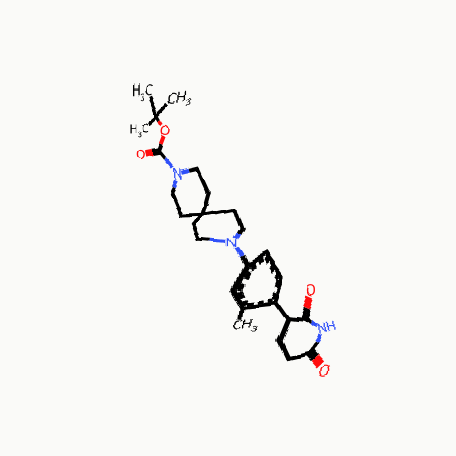 Cc1cc(N2CCC3(CCN(C(=O)OC(C)(C)C)CC3)CC2)ccc1C1CCC(=O)NC1=O